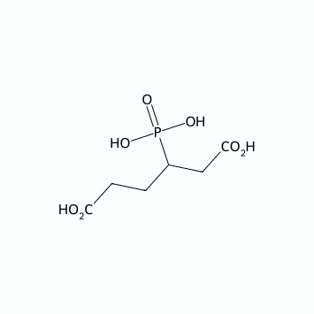 O=C(O)CCC(CC(=O)O)P(=O)(O)O